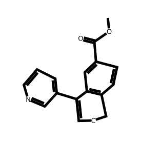 COC(=O)c1ccc2c(c1)C(c1cccnc1)=CCC2